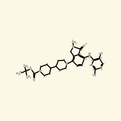 CN1Cc2c(N3CCC(C4CCN(C(=O)OC(C)(C)C)CC4)CC3)ccc(Nc3nc(Cl)ncc3Cl)c2C1=O